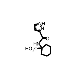 O=C(NC1(C(=O)O)CCCCC1)c1cc[nH]n1